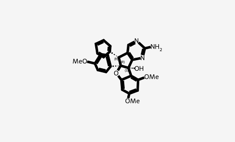 COc1ccc([C@@]23Oc4cc(OC)cc(OC)c4[C@]2(O)c2nc(N)ncc2[C@H]3c2ccccc2)cc1